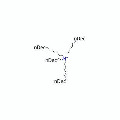 CCCCCCCCCCCCCCCCC[N+](CCCCCCCCCCCC)(CCCCCCCCCCCCCCCCC)CCCCCCCCCCCCCCCCC